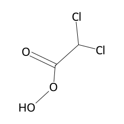 O=C(OO)C(Cl)Cl